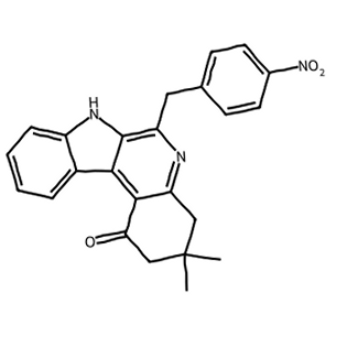 CC1(C)CC(=O)c2c(nc(Cc3ccc([N+](=O)[O-])cc3)c3[nH]c4ccccc4c23)C1